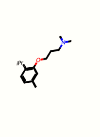 Cc1ccc(C(C)C)c(OCCCN(C)C)c1